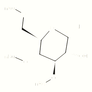 CCCCOC[C@H]1O[C@H](I)[C@H](O)[C@@H](OCCCC)[C@@H]1OCCCC